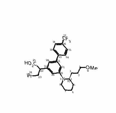 COCCC[C@H]1CCCCN1c1cc(-c2ccc(C(F)(F)F)cc2)cc(C(CC(C)C)C(=O)O)c1